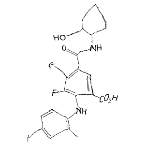 Cc1cc(I)ccc1Nc1c(C(=O)O)cc(C(=O)N[C@H]2CCCCC2O)c(F)c1F